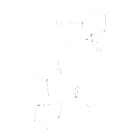 CC1(C)C2CCC1(C)C(S(=O)(=O)ONC(=O)C1C3C=CC(O3)C1C(N)=O)C2